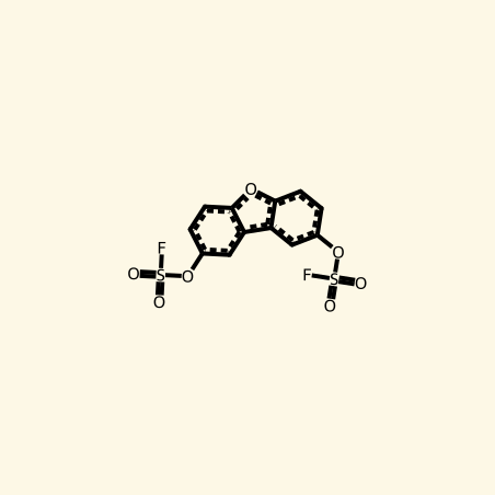 O=S(=O)(F)Oc1ccc2oc3ccc(OS(=O)(=O)F)cc3c2c1